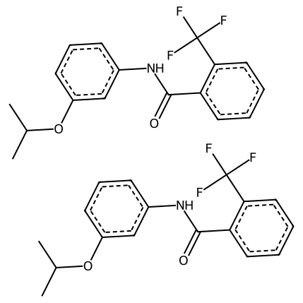 CC(C)Oc1cccc(NC(=O)c2ccccc2C(F)(F)F)c1.CC(C)Oc1cccc(NC(=O)c2ccccc2C(F)(F)F)c1